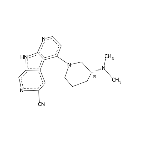 CN(C)[C@@H]1CCCN(c2ccnc3[nH]c4cnc(C#N)cc4c23)C1